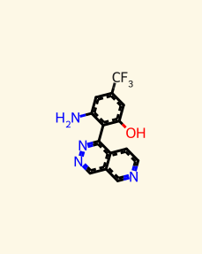 Nc1cc(C(F)(F)F)cc(O)c1-c1nncc2cnccc12